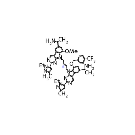 C=C(N)c1cc(OC)c2c(c1)c1cnc(-c3cc(C)nn3CC)nc1n2C/C=C/Cn1c2nc(-c3cc(C)nn3CC)ncc2c2cc(C(=C)N)cc(OCc3ccc(C(F)(F)F)cc3)c21